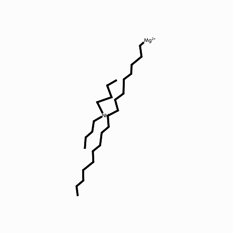 CCCCCCCCCCCCCCCCC[CH2][Mg+2].CCCCNCCCC